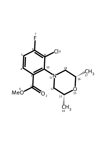 COC(=O)c1ccc(F)c(Cl)c1N1C[C@@H](C)O[C@@H](C)C1